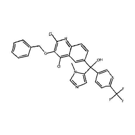 Cn1cncc1C(O)(c1ccc(C(F)(F)F)nc1)c1ccc2nc(Cl)c(OCc3ccccc3)c(Cl)c2c1